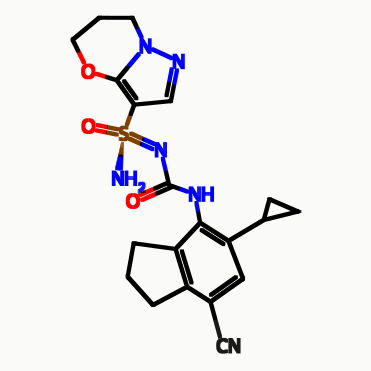 N#Cc1cc(C2CC2)c(NC(=O)N=[S@](N)(=O)c2cnn3c2OCCC3)c2c1CCC2